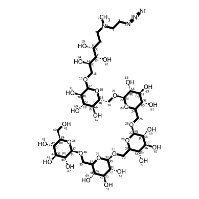 CN(CCN=[N+]=[N-])CC[C@@H](O)[C@H](O)[C@H](O)COC1O[C@H](CO[C@@H]2OC(CO[C@@H]3OC(CO[C@@H]4OC(CO[C@@H]5O[C@H](CO)[C@@H](O)[C@H](O)[C@H]5O)[C@@H](O)[C@H](O)[C@H]4O)[C@@H](O)[C@H](O)[C@H]3O)[C@@H](O)[C@H](O)[C@H]2O)[C@@H](O)[C@H](O)[C@H]1O